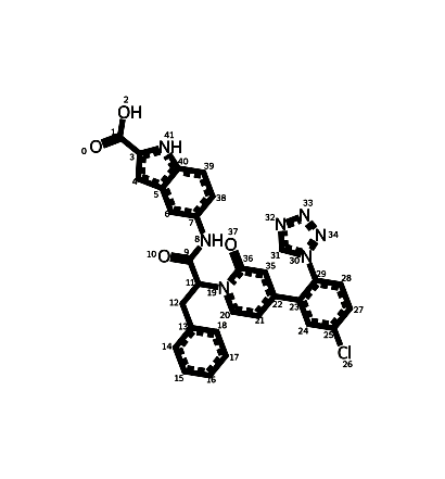 O=C(O)c1cc2cc(NC(=O)C(Cc3ccccc3)n3ccc(-c4cc(Cl)ccc4-n4cnnn4)cc3=O)ccc2[nH]1